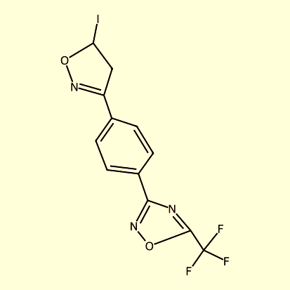 FC(F)(F)c1nc(-c2ccc(C3=NOC(I)C3)cc2)no1